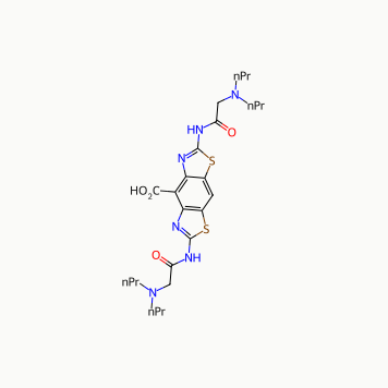 CCCN(CCC)CC(=O)Nc1nc2c(C(=O)O)c3nc(NC(=O)CN(CCC)CCC)sc3cc2s1